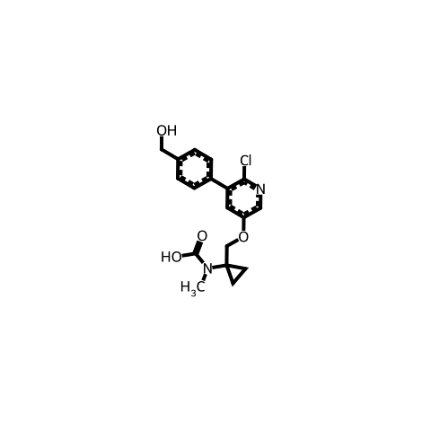 CN(C(=O)O)C1(COc2cnc(Cl)c(-c3ccc(CO)cc3)c2)CC1